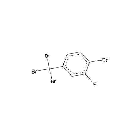 Fc1cc(C(Br)(Br)Br)ccc1Br